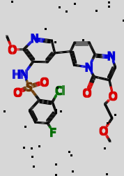 COCCOc1cnc2ccc(-c3cnc(OC)c(NS(=O)(=O)c4ccc(F)cc4Cl)c3)cn2c1=O